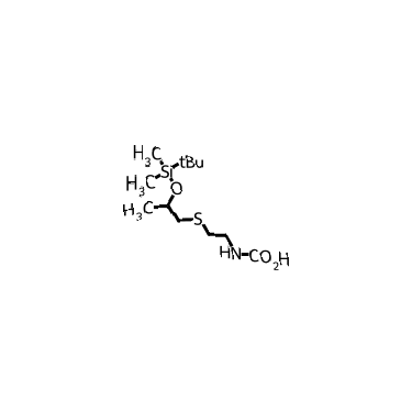 CC(CSCCNC(=O)O)O[Si](C)(C)C(C)(C)C